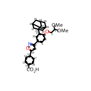 COC(COc1ccc(-c2cc(-c3ccc(C(=O)O)cc3)on2)cc1C12CC3CC(CC(C3)C1)C2)OC